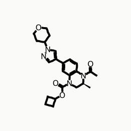 CC(=O)N1c2ccc(-c3cnn(C4CCOCC4)c3)cc2N(C(=O)OC2CCC2)C[C@@H]1C